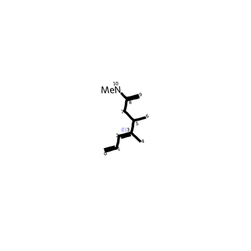 C=C/C=C(\C)C(C)CC(=C)NC